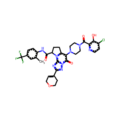 Cc1cc(C(F)(F)F)ccc1NC(=O)C1CCc2c(N3CCN(C(=O)c4nccc(Cl)c4O)CC3)c(=O)n3nc(C4=CCOCC4)nc3n21